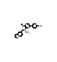 C=Nc1ncc(-c2ccc(C#N)nc2)nc1N(N)Cc1ccn2nccc2c1